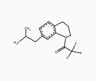 CC(C)Cc1ccc2c(c1)N(C(=O)C(F)(F)F)CCC2